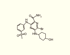 CS(=O)(=O)c1cccc(Nc2nc(NC3CCC(O)CC3)c(Br)nc2C(N)=O)c1